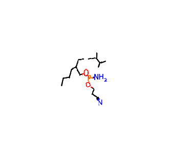 CC(C)C(C)C.CCCCC(CC)COP(N)OCCC#N